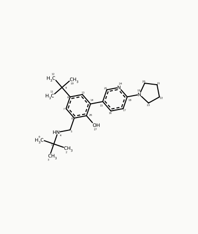 CC(C)(C)NCc1cc(C(C)(C)C)cc(-c2ccc(N3CCCC3)nc2)c1O